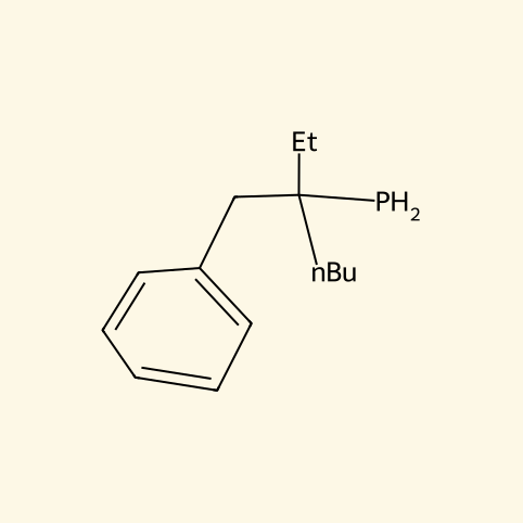 CCCCC(P)(CC)Cc1ccccc1